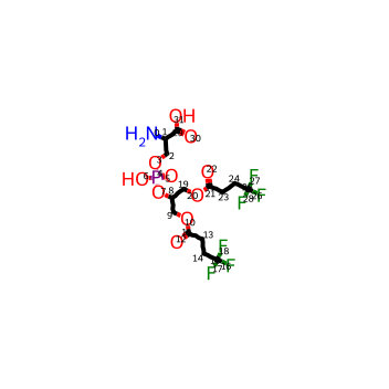 NC(COP(=O)(O)OC(COC(=O)CCC(F)(F)F)COC(=O)CCC(F)(F)F)C(=O)O